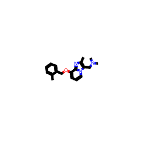 Cc1ccccc1COc1cccn2c(CN(C)C)c(C)nc12